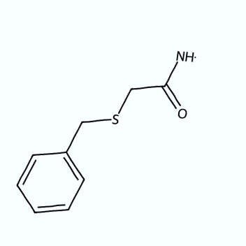 [NH]C(=O)CSCc1ccccc1